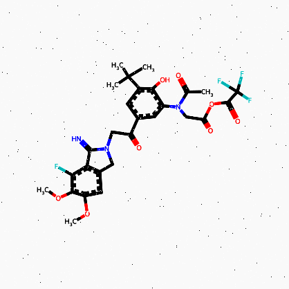 COc1cc2c(c(F)c1OC)C(=N)N(CC(=O)c1cc(N(CC(=O)OC(=O)C(F)(F)F)C(C)=O)c(O)c(C(C)(C)C)c1)C2